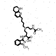 CC(=O)NCCN(CCCCc1ccc2c(n1)NCCC2)CCC(Nc1nn(C)c2ccccc12)C(=O)O